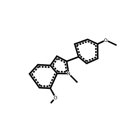 COc1ccc(-c2cc3cccc(OC)c3n2C)cc1